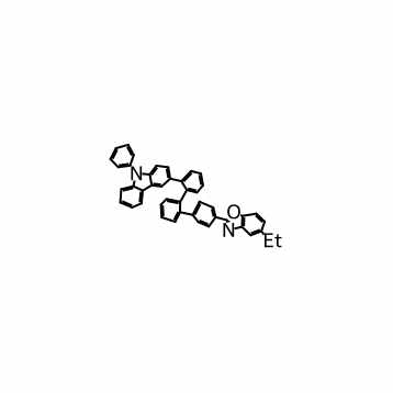 CCc1ccc2oc(-c3ccc(-c4ccccc4-c4ccccc4-c4ccc5c(c4)c4ccccc4n5-c4ccccc4)cc3)nc2c1